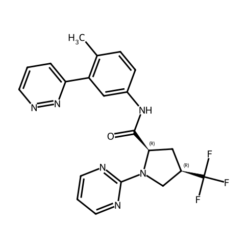 Cc1ccc(NC(=O)[C@H]2C[C@@H](C(F)(F)F)CN2c2ncccn2)cc1-c1cccnn1